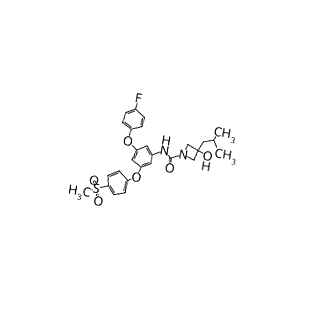 CC(C)CC1(O)CN(C(=O)Nc2cc(Oc3ccc(F)cc3)cc(Oc3ccc(S(C)(=O)=O)cc3)c2)C1